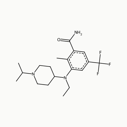 CCN(c1cc(C(F)(F)F)cc(C(N)=O)c1C)C1CCN(C(C)C)CC1